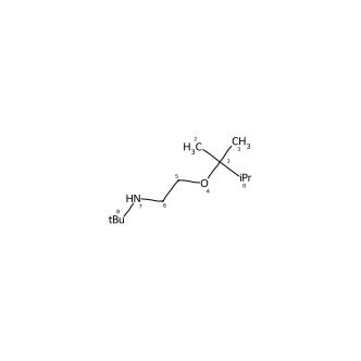 CC(C)C(C)(C)OCCNC(C)(C)C